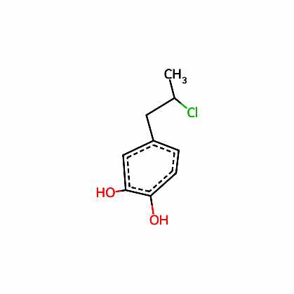 CC(Cl)Cc1ccc(O)c(O)c1